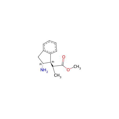 COC(=O)C(C)[C@@H]1c2ccccc2C[C@H]1N